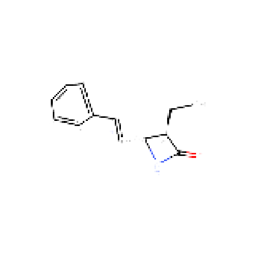 CC[C@H]1C(=O)N[C@@H]1/C=C/c1ccccc1